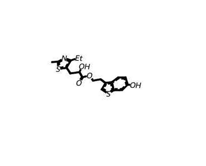 CCc1nc(C)sc1CC(O)C(=O)OCCc1csc2cc(O)ccc12